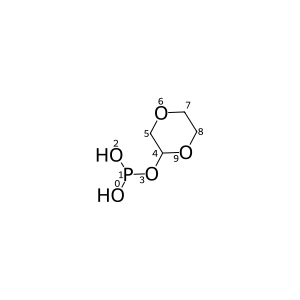 OP(O)OC1COCCO1